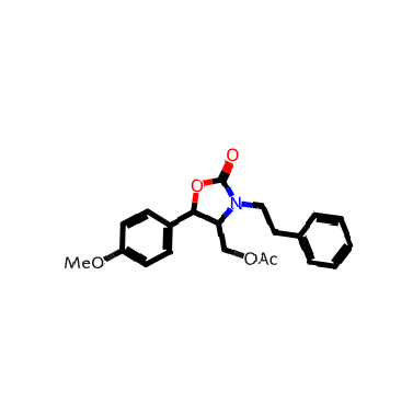 COc1ccc(C2OC(=O)N(CCc3ccccc3)C2COC(C)=O)cc1